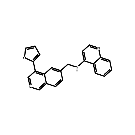 c1coc(-c2cncc3ccc(CNc4ccnc5ccccc45)cc23)c1